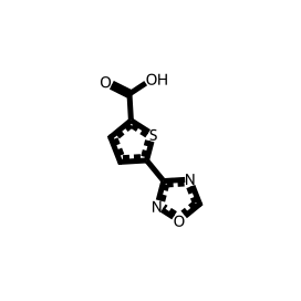 O=C(O)c1ccc(-c2ncon2)s1